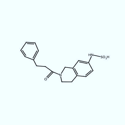 O=C(CCc1ccccc1)N1CCc2ccc(NS(=O)(=O)O)cc2C1